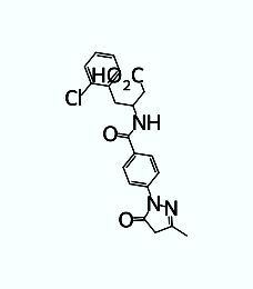 CC1=NN(c2ccc(C(=O)NC(CC(=O)O)Cc3ccccc3Cl)cc2)C(=O)C1